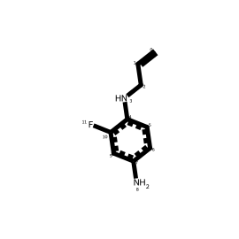 C=CCNc1ccc(N)cc1F